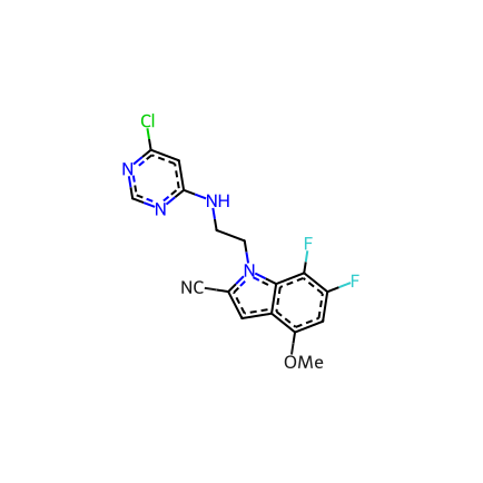 COc1cc(F)c(F)c2c1cc(C#N)n2CCNc1cc(Cl)ncn1